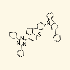 c1ccc(-c2ccc3c4ccccc4n(-c4ccc5c(c4)Sc4ccc(-c6nc(-c7ccccc7)nc(-c7ccccc7)n6)c6cccc-5c46)c3c2)cc1